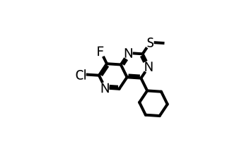 CSc1nc(C2CCCCC2)c2cnc(Cl)c(F)c2n1